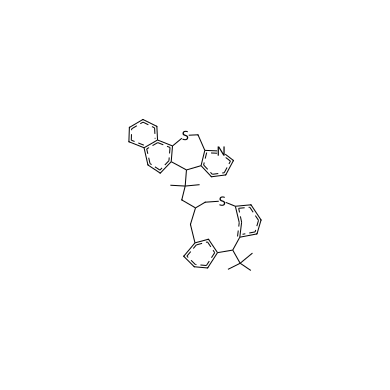 CC(C)(C)C1c2cccc(c2)CC(CC(C)(C)C2c3cccnc3CSc3c2ccc2ccccc32)CSc2cccc1c2